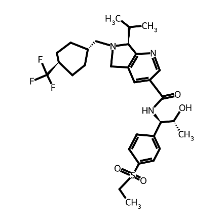 CCS(=O)(=O)c1ccc([C@@H](NC(=O)c2cnc3c(c2)CN(C[C@H]2CC[C@H](C(F)(F)F)CC2)[C@H]3C(C)C)[C@@H](C)O)cc1